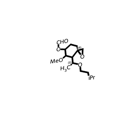 COC1C(OC=O)CC[C@]2(CO2)C1[C@H](C)OCCC(C)C